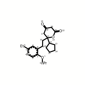 CCCOc1cnc(CC)cc1CCC1(C2CCCC2)CC(=O)CC(=O)O1